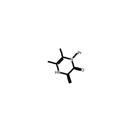 C=C1NC(C)=C(C)N(C(C)C)C1=O